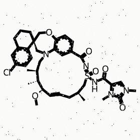 CO[C@H]1/C=C/C[C@H](C)CS(=O)(NC(=O)c2cn(C)c(=O)n2C)=NC(=O)c2ccc3c(c2)N(C[C@H](C)[C@H]1C)C[C@@]1(CCCc2cc(Cl)ccc21)CO3